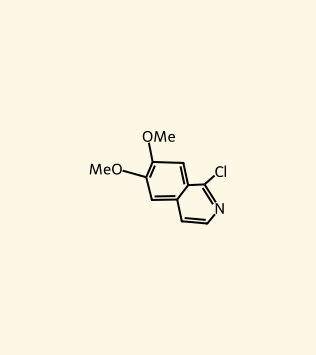 COc1cc2ccnc(Cl)c2cc1OC